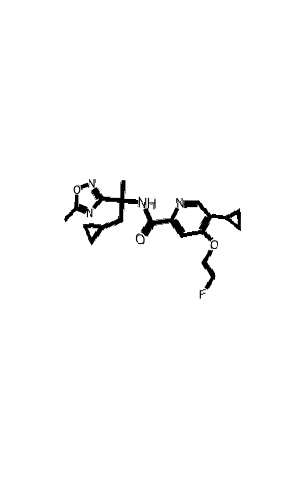 Cc1nc(C(C)(CC2CC2)NC(=O)c2cc(OCCF)c(C3CC3)cn2)no1